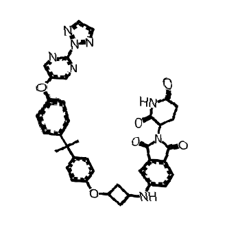 CC(C)(c1ccc(Oc2cnc(-n3nccn3)nc2)cc1)c1ccc(OC2CC(Nc3ccc4c(c3)C(=O)N(C3CCC(=O)NC3=O)C4=O)C2)cc1